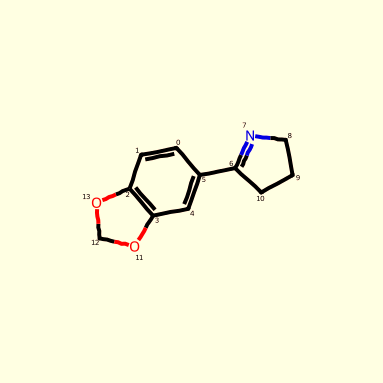 c1cc2c(cc1C1=NCCC1)OCO2